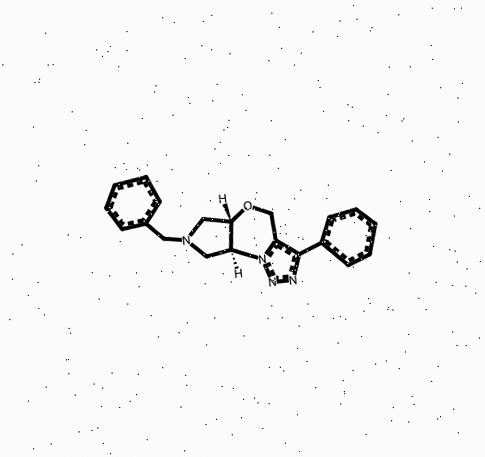 c1ccc(CN2C[C@@H]3OCc4c(-c5ccccc5)nnn4[C@H]3C2)cc1